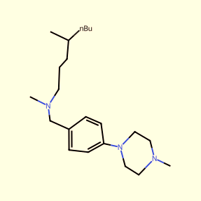 CCCCC(C)CCCN(C)Cc1ccc(N2CCN(C)CC2)cc1